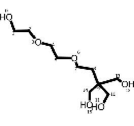 OCCOCCOCCC(CO)(CO)CO